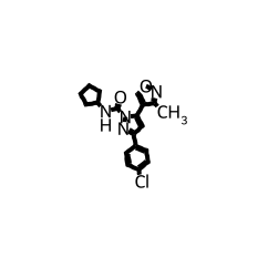 Cc1nocc1-c1cc(-c2ccc(Cl)cc2)nn1C(=O)NC1CCCC1